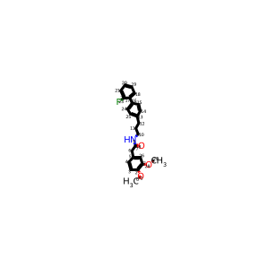 COc1ccc(CC(=O)NCCCc2ccc(-c3ccccc3F)cc2)cc1OC